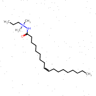 CCCCCCCC/C=C\CCCCCCCC(=O)N[N+](C)(C)CCC